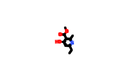 CCc1cc(O)c(C(=O)OC)c(C)n1